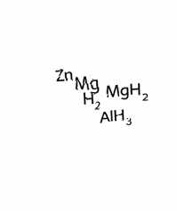 [AlH3].[MgH2].[MgH2].[Zn]